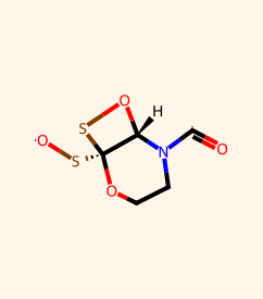 [O]S[C@@]12OCCN([C]=O)[C@H]1OS2